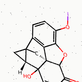 O=C1C=CC2(O)[C@@H]3CC34C[C@@]23c2c4ccc(OI)c2OC13